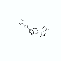 C=CC(=O)N1CC(n2cnc3cc(-c4c(C)ccc5[nH]ncc45)ccc32)C1